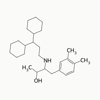 Cc1ccc(CC(NCCC(C2CCCCC2)C2CCCCC2)C(C)O)cc1C